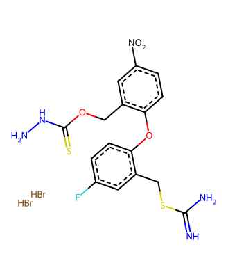 Br.Br.N=C(N)SCc1cc(F)ccc1Oc1ccc([N+](=O)[O-])cc1COC(=S)NN